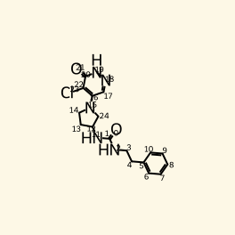 O=C(NCCc1ccccc1)NC1CCN(c2cn[nH]c(=O)c2Cl)C1